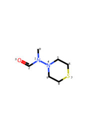 CN(C=O)N1CCSCC1